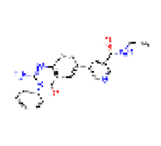 CC(C)CNC(=O)c1cncc(-c2ccc3nc(N)n(-c4ccccc4)c(=O)c3c2)c1